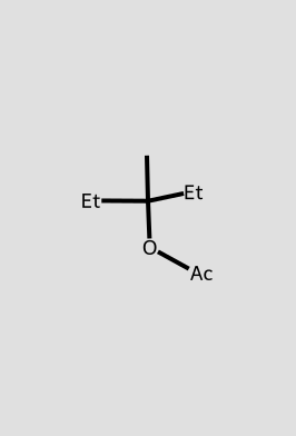 [CH2]C(=O)OC(C)(CC)CC